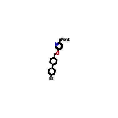 CCCCCc1ccc(OC[C@H]2CC[C@H]([C@H]3CC[C@H](CC)CC3)CC2)cn1